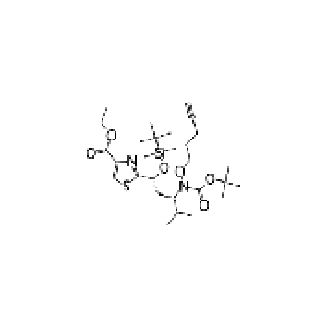 C#CCCCON(C(=O)OC(C)(C)C)[C@H](C[C@@H](O[Si](C)(C)C(C)(C)C)c1nc(C(=O)OCC)cs1)C(C)C